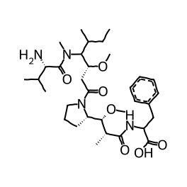 CCC(C)C([C@@H](CC(=O)N1CCC[C@H]1[C@H](OC)[C@@H](C)C(=O)NC(Cc1ccccc1)C(=O)O)OC)N(C)C(=O)[C@@H](N)C(C)C